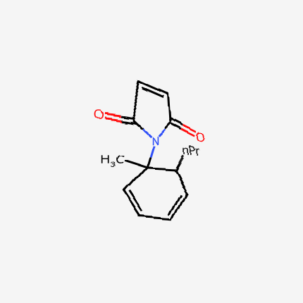 CCCC1C=CC=CC1(C)N1C(=O)C=CC1=O